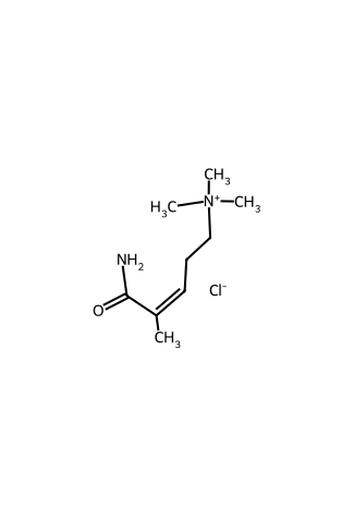 CC(=CCC[N+](C)(C)C)C(N)=O.[Cl-]